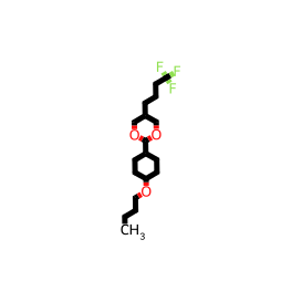 CCCCOC1CCC(C2OCC(CCCC(F)(F)F)CO2)CC1